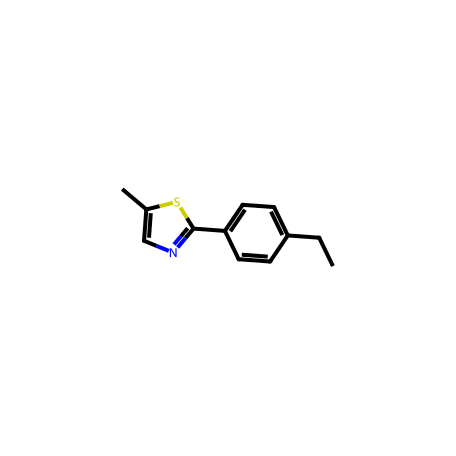 CCc1ccc(-c2ncc(C)s2)cc1